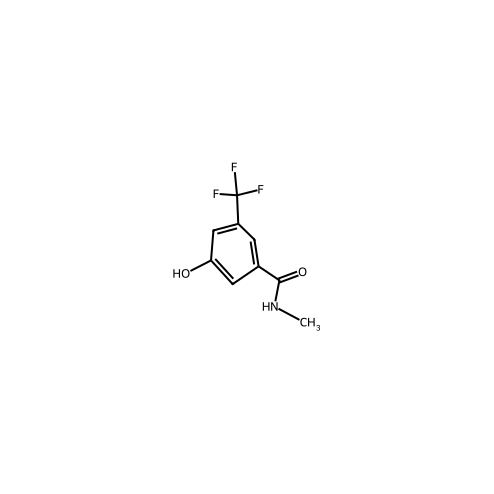 CNC(=O)c1cc(O)cc(C(F)(F)F)c1